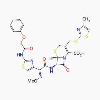 CON=C(C(=O)N[C@@H]1C(=O)N2C(C(=O)O)=C(CSc3nc(C)cs3)CS[C@@H]12)c1csc(NC(=O)COc2ccccc2)n1